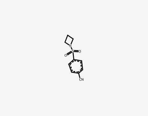 N#Cc1ccc(S(=O)(=O)N2CCC2)cc1